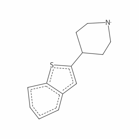 c1ccc2sc(C3CC[N]CC3)cc2c1